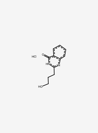 Cl.O=c1[nH]c(CCCO)nc2ccccc12